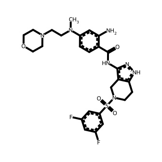 CN(CCN1CCOCC1)c1ccc(C(=O)Nc2n[nH]c3c2CN(S(=O)(=O)c2cc(F)cc(F)c2)CC3)c(N)c1